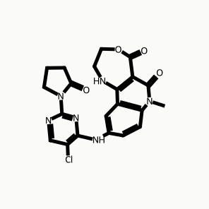 Cn1c(=O)c2c(c3cc(Nc4nc(N5CCCC5=O)ncc4Cl)ccc31)NCCOC2=O